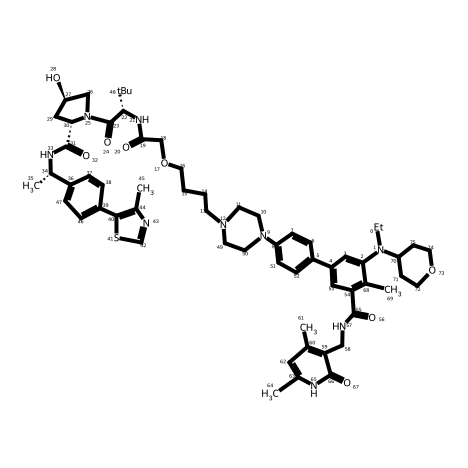 CCN(c1cc(-c2ccc(N3CCN(CCCCOCC(=O)N[C@H](C(=O)N4C[C@H](O)C[C@H]4C(=O)N[C@@H](C)c4ccc(-c5scnc5C)cc4)C(C)(C)C)CC3)cc2)cc(C(=O)NCc2c(C)cc(C)[nH]c2=O)c1C)C1CCOCC1